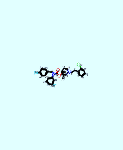 O=C(O[C@H]1C[N+]2(CCc3ccccc3Cl)CCC1CC2)N(Cc1ccc(F)cc1)c1cccc(F)c1